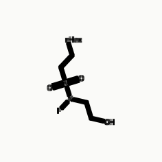 CCCCCCCCS(=O)(=O)N(F)CCO